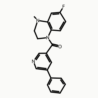 CN1CCN(C(=O)c2cncc(-c3ccccc3)c2)c2ccc(F)cc21